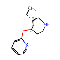 CC[C@@H]1CNCC[C@H]1Oc1ccccn1